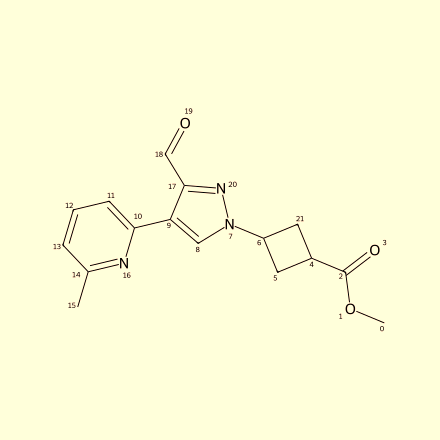 COC(=O)C1CC(n2cc(-c3cccc(C)n3)c(C=O)n2)C1